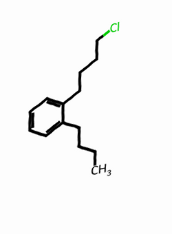 CCCCc1ccccc1CCCCCl